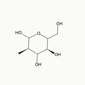 C[C@H]1C(O)OC(CO)[C@@H](O)C1O